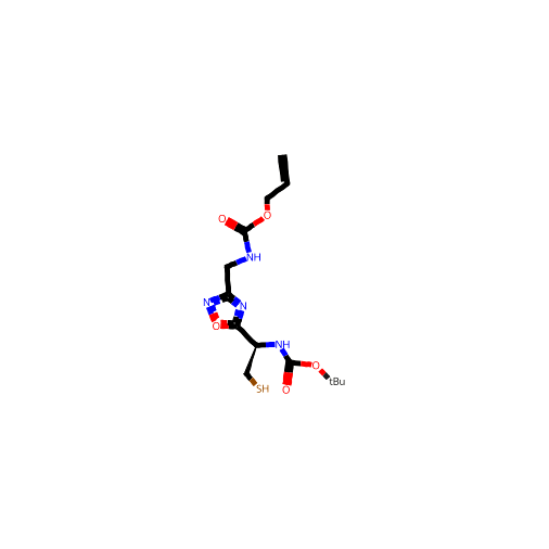 C=CCOC(=O)NCc1noc([C@H](CS)NC(=O)OC(C)(C)C)n1